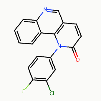 O=c1ccc2cnc3ccccc3c2n1-c1ccc(F)c(Cl)c1